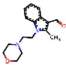 Cc1c(C=O)c2ccccc2n1CCN1CCOCC1